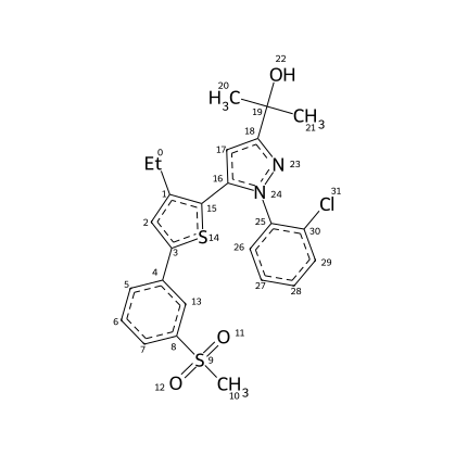 CCc1cc(-c2cccc(S(C)(=O)=O)c2)sc1-c1cc(C(C)(C)O)nn1-c1ccccc1Cl